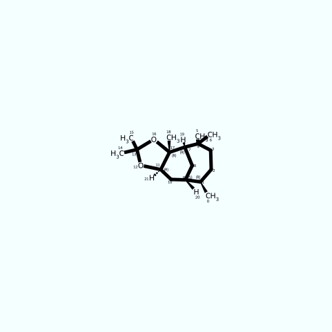 C[C@@H]1CCC(C)(C)[C@H]2C[C@H]1C[C@H]1OC(C)(C)O[C@]21C